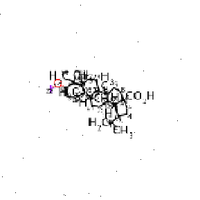 C=C(C)[C@@H]1CC[C@]2(C(=O)O)CC[C@]3(C)[C@H](CC[C@@H]4[C@@]5(C)CC[C@H](OI)C(C)(C)[C@@H]5CC[C@]43C)[C@@H]12